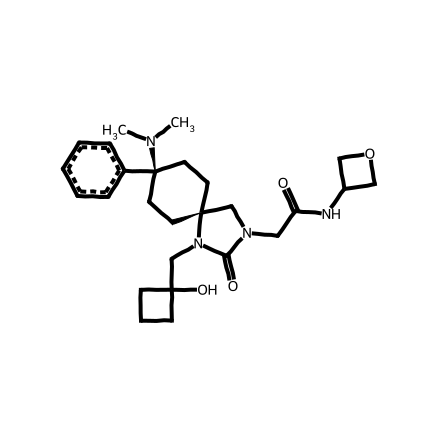 CN(C)[C@]1(c2ccccc2)CC[C@@]2(CC1)CN(CC(=O)NC1COC1)C(=O)N2CC1(O)CCC1